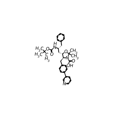 CC(C)(C)OC(=O)N[C@H](Cc1ccccc1)C[C@@H]1OC(C)(C)N(C(=O)O)[C@H]1Cc1ccc(-c2cccnc2)cc1